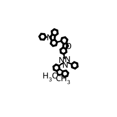 CC1(C)c2ccccc2-c2c(-c3nc(-c4ccccc4)nc(-c4ccc5c(c4)oc4cccc(-c6cccc7c6c6ccccc6n7-c6ccccc6)c45)n3)cccc21